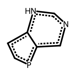 c1ncc2pccc-2[nH]1